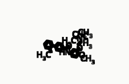 CCc1ccccc1-c1ccc(C(=O)Nc2ccc(OC)c(OCCN(C(C)C)C(C)C)c2)cc1